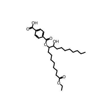 CCCCCCCCC(O)C(CCCCCCCC(=O)OCC)OC(=O)c1ccc(C(=O)O)cc1